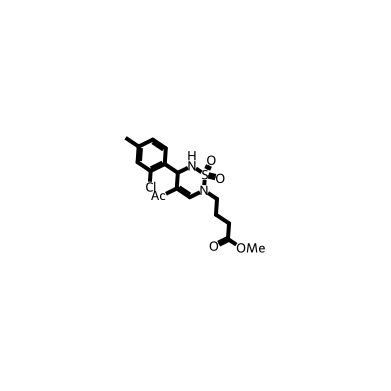 COC(=O)CCCN1C=C(C(C)=O)C(c2ccc(C)cc2Cl)NS1(=O)=O